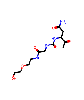 CC(=O)C(CC(N)=O)NC(=O)NCC(=O)NCCOCCO